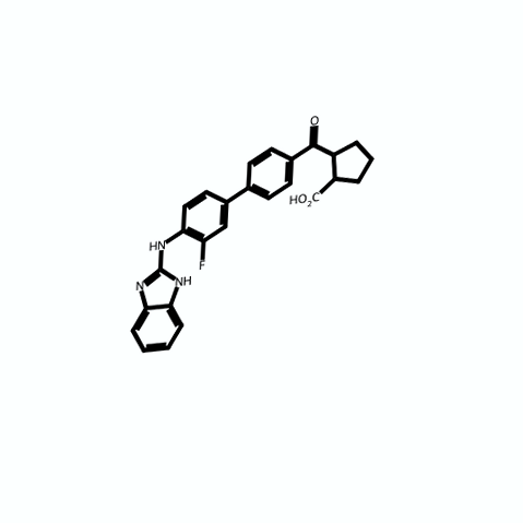 O=C(O)C1CCCC1C(=O)c1ccc(-c2ccc(Nc3nc4ccccc4[nH]3)c(F)c2)cc1